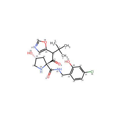 CC(C)(C)C(C(=O)[C@]1(C(=O)NCc2ccc(Cl)cc2O)C[C@@H](O)CN1)c1cnco1